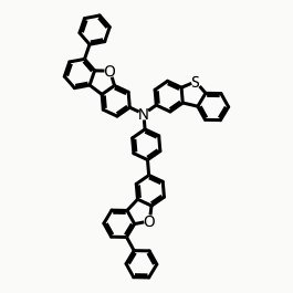 c1ccc(-c2cccc3c2oc2cc(N(c4ccc(-c5ccc6oc7c(-c8ccccc8)cccc7c6c5)cc4)c4ccc5sc6ccccc6c5c4)ccc23)cc1